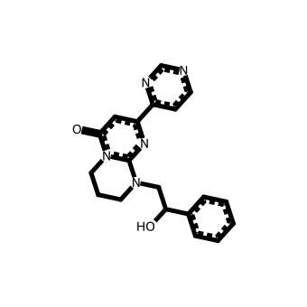 O=c1cc(-c2ccncn2)nc2n1CCCN2CC(O)c1ccccc1